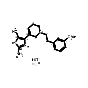 COc1cccc(CCN2CCC=C(c3nc(N)sc3C#N)C2)c1.Cl.Cl